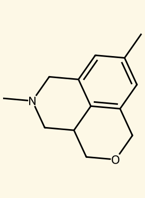 Cc1cc2c3c(c1)CN(C)CC3COC2